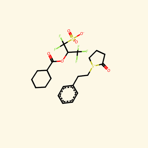 O=C(OC(C(F)(F)F)C(F)(F)S(=O)(=O)[O-])C1CCCCC1.O=C1CCC[S+]1CCc1ccccc1